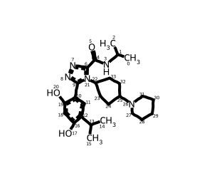 CC(C)NC(=O)c1nnc(-c2cc(C(C)C)c(O)cc2O)n1C1CCC(N2CCCCC2)CC1